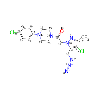 [N-]=[N+]=NCc1c(Cl)c(C(F)(F)F)nn1CC(=O)N1CCN(c2ccc(Cl)cc2)CC1